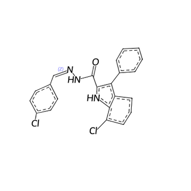 O=C(N/N=C\c1ccc(Cl)cc1)c1[nH]c2c(Cl)cccc2c1-c1ccccc1